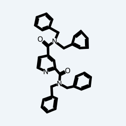 O=C(c1ccnc(C(=O)N(Cc2ccccc2)Cc2ccccc2)c1)N(Cc1ccccc1)Cc1ccccc1